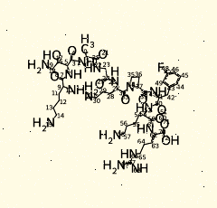 C[C@H](NC(=O)[C@@H](NC(=O)C(N)CCCCN)[C@@H](O)CN)C(=O)NCC(=O)N[C@H](CCCN)C(=O)N1CC[C@H]1C(=O)NC(Cc1cccc(F)c1)C(=O)N[C@@H](CCCCN)C(=O)N/C(=C\CCNC(=N)N)C(=O)O